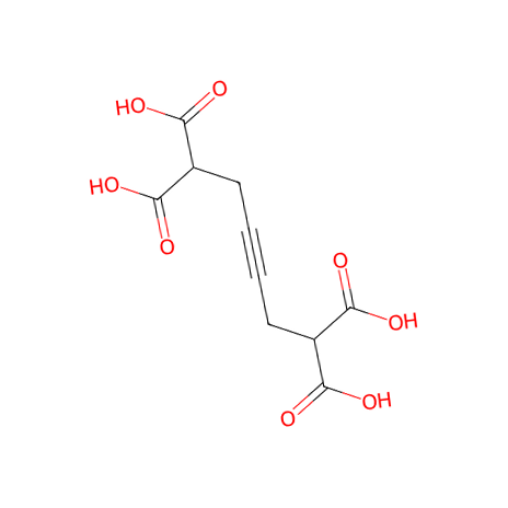 O=C(O)C(CC#CCC(C(=O)O)C(=O)O)C(=O)O